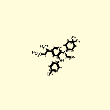 CC(C)CN(c1ncc(C(C)CC(=O)O)cc1Nc1ccc(Cl)nc1)C1CCC(F)(F)CC1